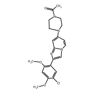 COc1cc(OC)c(-c2cn3ccc(N4CCN(C(C)=O)CC4)cc3n2)cc1Cl